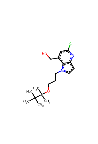 CC(C)(C)[Si](C)(C)OCCCn1ccc2nc(Cl)cc(CO)c21